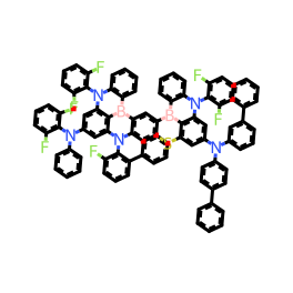 Fc1cccc(F)c1N(c1ccccc1)c1cc2c3c(c1)N(c1c(F)cccc1-c1ccccc1)c1cc4c(cc1B3c1ccccc1N2c1c(F)cccc1F)B1c2ccccc2N(c2c(F)cccc2F)c2cc(N(c3ccc(-c5ccccc5)cc3)c3cccc(-c5ccccc5)c3)cc(c21)S4